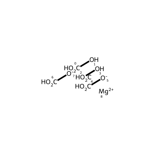 O=C(O)O.O=C(O)O.O=C([O-])O.O=C([O-])O.[Mg+2]